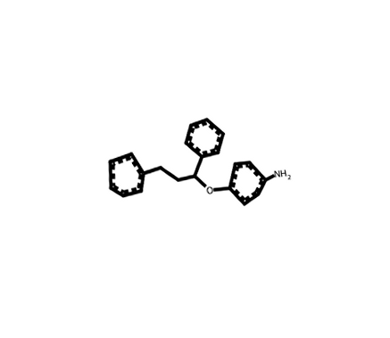 Nc1ccc(OC(CCc2ccccc2)c2ccccc2)cc1